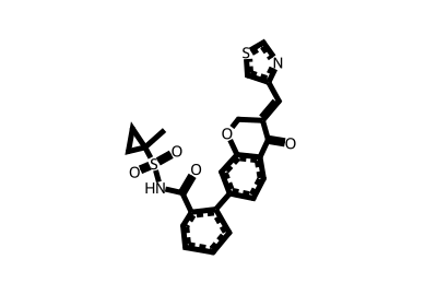 CC1(S(=O)(=O)NC(=O)c2ccccc2-c2ccc3c(c2)OC/C(=C\c2cscn2)C3=O)CC1